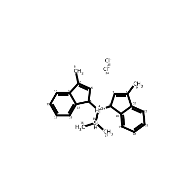 CC1=C[CH]([Hf+2]([CH]2C=C(C)c3ccccc32)[SiH](C)C)c2ccccc21.[Cl-].[Cl-]